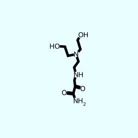 NC(=O)C(=O)CNCCN(CCO)CCO